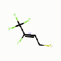 F/C(=C\C[S])C(F)(F)F